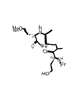 COCC[C@H](NC(C)CCC(C)C(=O)[C@H](CCO)NC(C)C)C(=O)C(C)C